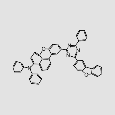 c1ccc(-c2nc(-c3ccc4c(c3)-c3cccc5c(N(c6ccccc6)c6ccccc6)ccc(c35)O4)nc(-c3ccc4oc5ccccc5c4c3)n2)cc1